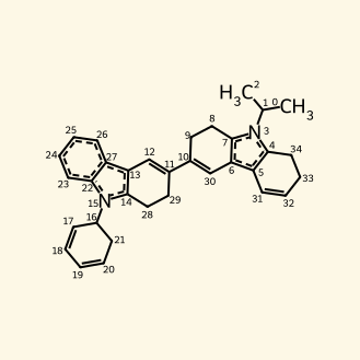 CC(C)n1c2c(c3c1CCC(C1=Cc4c(n(C5C=CC=CC5)c5ccccc45)CC1)=C3)C=CCC2